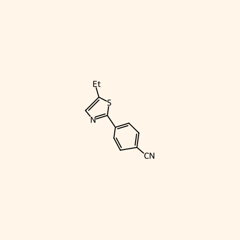 CCc1cnc(-c2ccc(C#N)cc2)s1